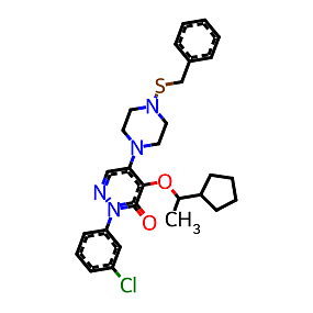 CC(Oc1c(N2CCN(SCc3ccccc3)CC2)cnn(-c2cccc(Cl)c2)c1=O)C1CCCC1